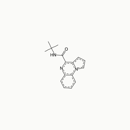 CC(C)(C)NC(=O)c1nc2ccccc2n2cccc12